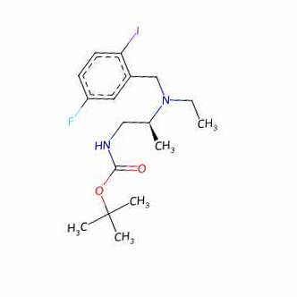 CCN(Cc1cc(F)ccc1I)[C@@H](C)CNC(=O)OC(C)(C)C